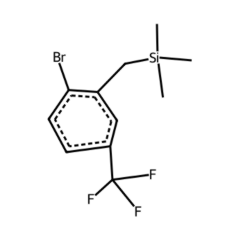 C[Si](C)(C)Cc1cc(C(F)(F)F)ccc1Br